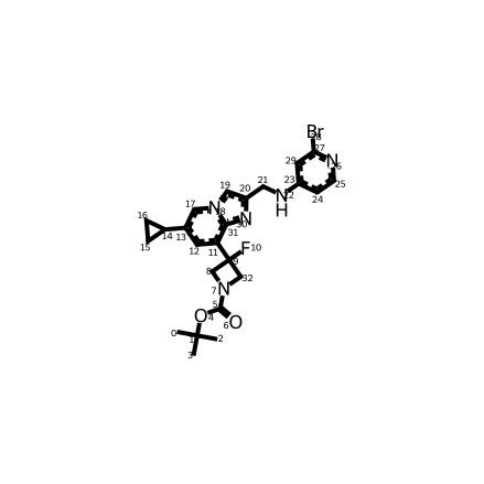 CC(C)(C)OC(=O)N1CC(F)(c2cc(C3CC3)cn3cc(CNc4ccnc(Br)c4)nc23)C1